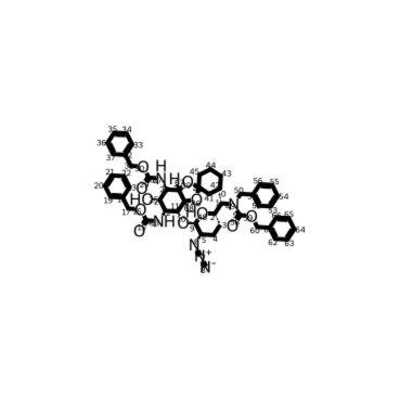 C[C@@H]([C@@H]1CC[C@@H](N=[N+]=[N-])[C@@H](O[C@@H]2[C@@H](NC(=O)OCc3ccccc3)[C@H](O)[C@@H](NC(=O)OCc3ccccc3)[C@@H]3OC4(CCCCC4)O[C@@H]23)O1)N(Cc1ccccc1)C(=O)OCc1ccccc1